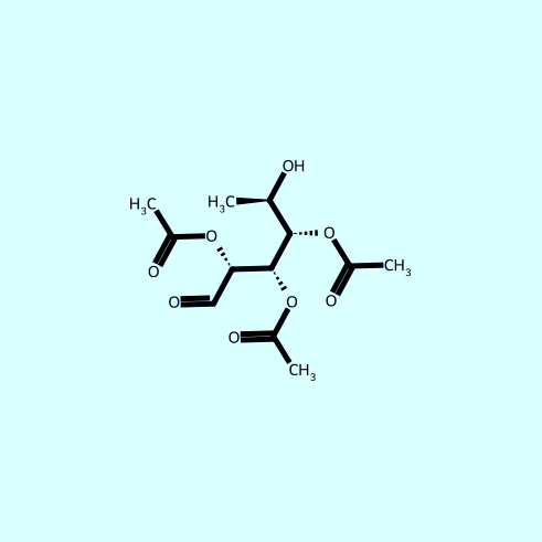 CC(=O)O[C@H]([C@H](OC(C)=O)[C@H](C=O)OC(C)=O)[C@@H](C)O